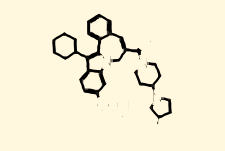 O=C(O)c1ccc2c(C3CCCCC3)c3n(c2c1)CC(C(=O)N1CCC(N2CC[C@@H](F)C2)CC1)=Cc1ccccc1-3